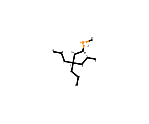 CCCC(CCC)(CCC)CCPC